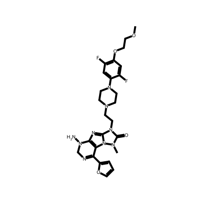 COCCOc1cc(F)c(N2CCN(CCn3c(=O)n(C)n4c5c(nc34)N(N)CN=C5c3ccco3)CC2)cc1F